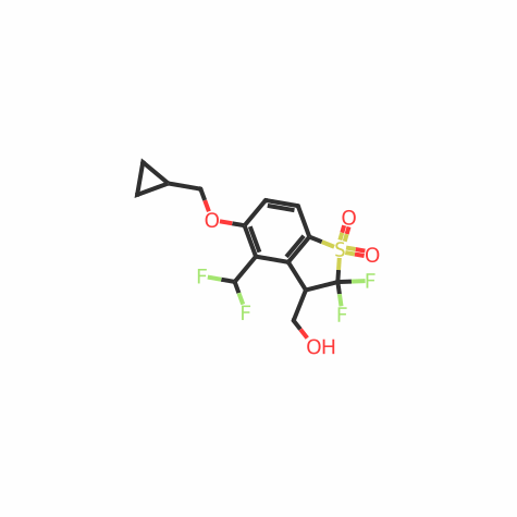 O=S1(=O)c2ccc(OCC3CC3)c(C(F)F)c2C(CO)C1(F)F